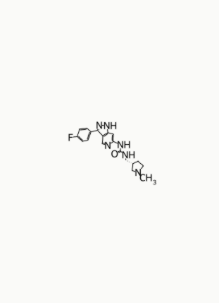 CN1CC[C@@H](CNC(=O)Nc2cc3[nH]nc(-c4ccc(F)cc4)c3cn2)C1